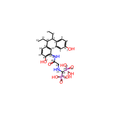 CCC(c1ccc(O)cc1)C(CC)c1ccc(O)c(NC(=O)CNC(P(=O)(O)O)P(=O)(O)O)c1